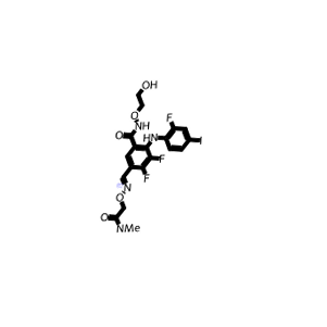 CNC(=O)CO/N=C/c1cc(C(=O)NOCCO)c(Nc2ccc(I)cc2F)c(F)c1F